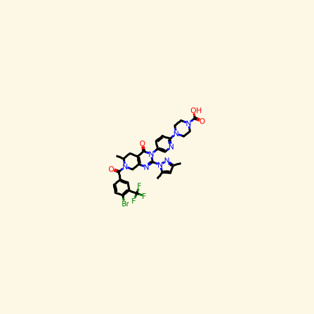 Cc1cc(C)n(-c2nc3c(c(=O)n2-c2ccc(N4CCN(C(=O)O)CC4)nc2)CC(C)N(C(=O)c2ccc(Br)c(C(F)(F)F)c2)C3)n1